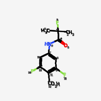 CC(C)(F)C(=O)Nc1cc(F)c(C(=O)O)c(F)c1